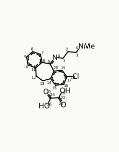 CNCCCN=C1c2ccccc2CCc2ccc(Cl)cc21.O=C(O)C(=O)O